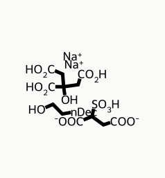 CCCCCCCCCCCCO.O=C(O)CC(O)(CC(=O)O)C(=O)O.O=C([O-])CC(C(=O)[O-])S(=O)(=O)O.[Na+].[Na+]